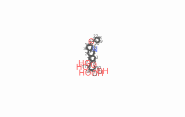 N#Cc1ccc([C@]2(O)O[C@H](CO)[C@@H](O)[C@H](O)[C@H]2O)cc1Cc1ccc(OC2CCCC2)cc1